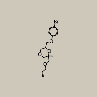 C=CCOCC1(C)COCC(COc2ccc(Br)cc2)O1